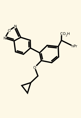 CCCC(C(=O)O)c1ccc(OCC2CC2)c(-c2ccc3nonc3c2)c1